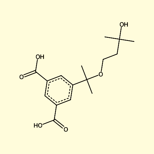 CC(C)(O)CCOC(C)(C)c1cc(C(=O)O)cc(C(=O)O)c1